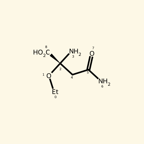 CCO[C@](N)(CC(N)=O)C(=O)O